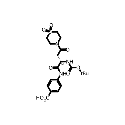 CC(C)(C)OC(=O)N[C@@H](CC(=O)N1CCS(=O)(=O)CC1)C(=O)Nc1ccc(C(=O)O)cc1